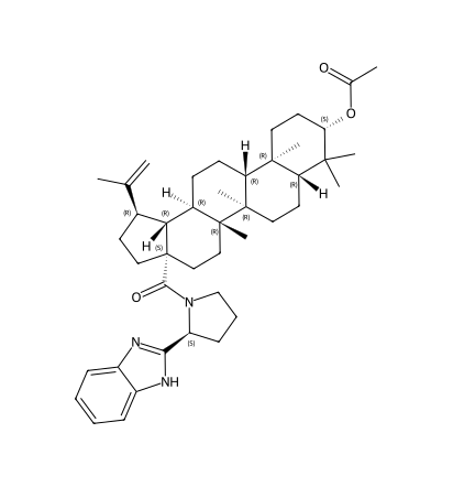 C=C(C)[C@@H]1CC[C@]2(C(=O)N3CCC[C@H]3c3nc4ccccc4[nH]3)CC[C@]3(C)[C@H](CC[C@@H]4[C@@]5(C)CC[C@H](OC(C)=O)C(C)(C)[C@@H]5CC[C@]43C)[C@@H]12